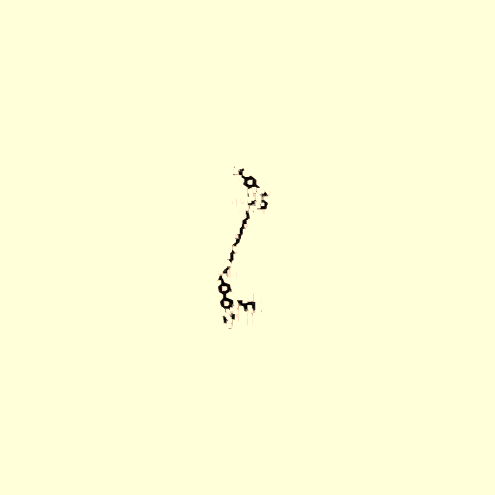 Cc1ncsc1-c1ccc(CNC(=O)[C@@H]2C[C@@H](O)CN2C(=O)[C@@H](NC(=O)CCOCCOCCOCCOCCNC(=O)c2ccc(-c3ccc(N4C[C@@H](C)N(C)[C@@H](C)C4)c(NC(=O)c4c[nH]c(=O)cc4C(F)(F)F)c3)c(F)c2)C(C)(C)C)cc1